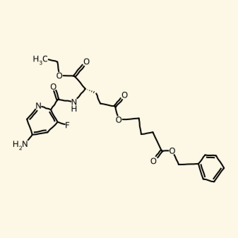 CCOC(=O)[C@H](CCC(=O)OCCCC(=O)OCc1ccccc1)NC(=O)c1ncc(N)cc1F